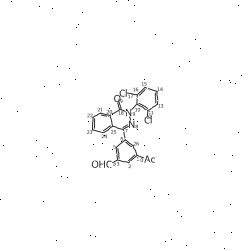 CC(=O)c1cc(C=O)cc(-c2nn(-c3c(Cl)cccc3Cl)c(=O)c3ccccc23)c1